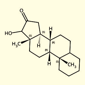 C[C@]12CCCCC1CC[C@@H]1[C@H]2CC[C@]2(C)C(O)C(=O)C[C@@H]12